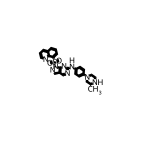 C[C@@H]1CN(c2ccc(Nc3ncc4cnn(S(=O)(=O)c5cccc6cccnc56)c4n3)cc2)CCN1